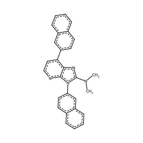 CN(C)c1nc2c(-c3ccc4ccccc4c3)ccnc2n1-c1ccc2ccccc2c1